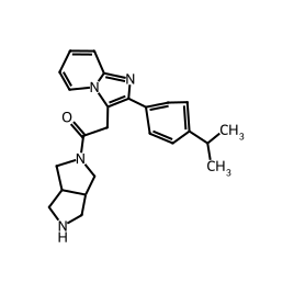 CC(C)c1ccc(-c2nc3ccccn3c2CC(=O)N2CC3CNCC3C2)cc1